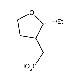 CC[C@H]1OCCC1CC(=O)O